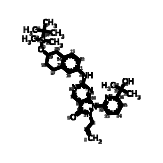 C=CCn1c(=O)c2cnc(Nc3ccc4c(c3)CCC(O[Si](C)(C)C(C)(C)C)C4)nc2n1-c1cccc(C(C)(C)O)n1